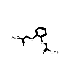 COC(=O)COc1ccccc1OCC(=O)OC